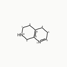 C1=NC2=C(CC1)CCNC2